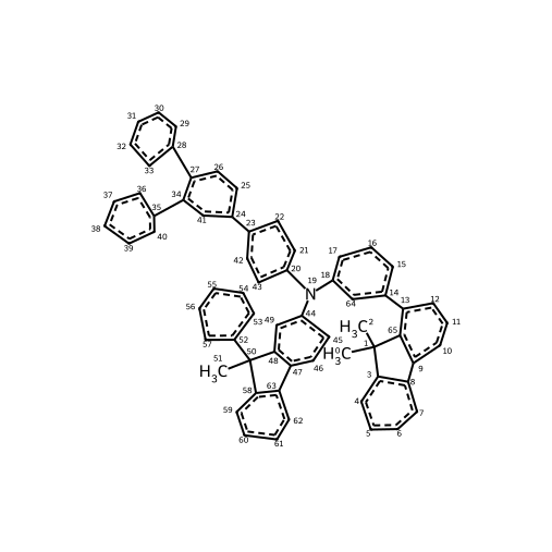 CC1(C)c2ccccc2-c2cccc(-c3cccc(N(c4ccc(-c5ccc(-c6ccccc6)c(-c6ccccc6)c5)cc4)c4ccc5c(c4)C(C)(c4ccccc4)c4ccccc4-5)c3)c21